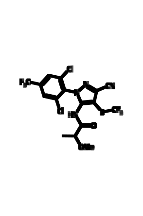 COC(C)C(=O)Nc1c(SC(F)(F)F)c(C#N)nn1-c1c(Cl)cc(C(F)(F)F)cc1Cl